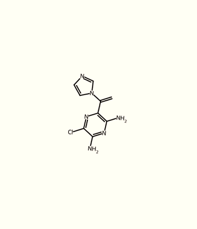 C=C(c1nc(Cl)c(N)nc1N)n1ccnc1